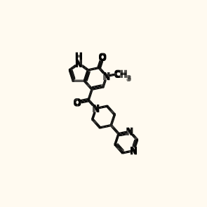 Cn1cc(C(=O)N2CCC(c3ccncn3)CC2)c2cc[nH]c2c1=O